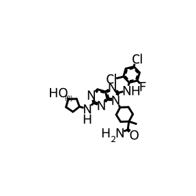 CC1(C(N)=O)CCC(n2c(Nc3c(F)cc(Cl)cc3Cl)nc3cnc(NC4CC[C@@H](O)C4)nc32)CC1